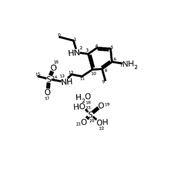 CCNc1ccc(N)c(C)c1CCNS(C)(=O)=O.O.O=S(=O)(O)O